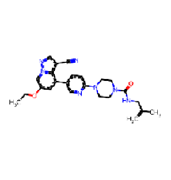 C=C(C)CNC(=O)N1CCN(c2ccc(-c3cc(OCC)cn4ncc(C#N)c34)cn2)CC1